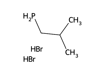 Br.Br.CC(C)CP